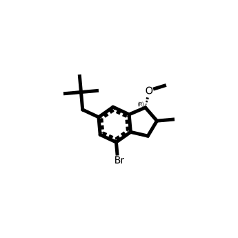 CO[C@H]1c2cc(CC(C)(C)C)cc(Br)c2CC1C